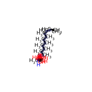 CC(=O)N[C@H]1[C@@H](OP(=O)(O)OP(=O)(O)OC/C=C(/C)CC/C=C(/C)CC/C=C(/C)CC/C=C(/C)CC/C=C(/C)CC/C=C(/C)CC/C=C(/C)CC/C=C(/C)CC/C=C(\C)CC/C=C(\C)CCC=C(C)C)O[C@H](CO)[C@@H](O)[C@@H]1O